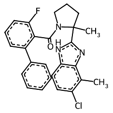 Cc1c(Cl)ccc2[nH]c(C3(C)CCCN3C(=O)c3c(F)cccc3-c3ccccc3)nc12